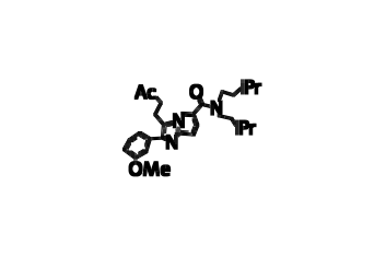 COc1cccc(-c2nc3ccc(C(=O)N(CCC(C)C)CCC(C)C)cn3c2CCC(C)=O)c1